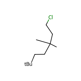 CC(C)(C)CCC(C)(C)CCCl